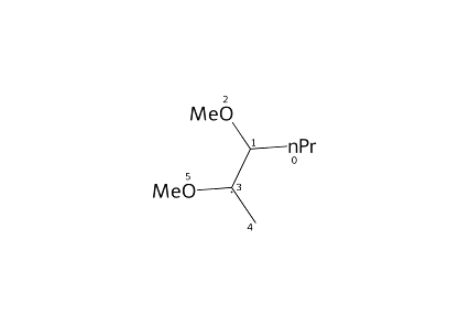 CCCC(OC)[C](C)OC